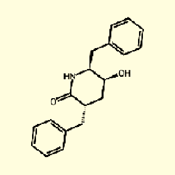 O=C1N[C@@H](Cc2ccccc2)[C@@H](O)C[C@@H]1Cc1ccccc1